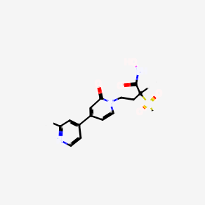 Cc1cc(-c2ccn(CCC(C)(C(=O)NO)S(C)(=O)=O)c(=O)c2)ccn1